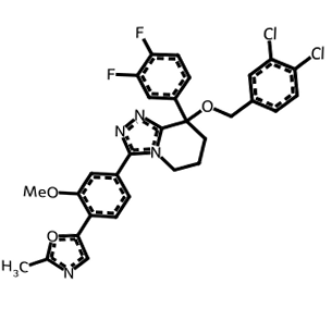 COc1cc(-c2nnc3n2CCCC3(OCc2ccc(Cl)c(Cl)c2)c2ccc(F)c(F)c2)ccc1-c1cnc(C)o1